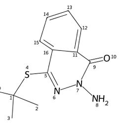 CC(C)(C)Sc1nn(N)c(=O)c2ccccc12